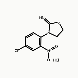 Cl.N=C1SCCN1c1ccc(Cl)cc1[N+](=O)[O-]